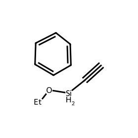 C#C[SiH2]OCC.c1ccccc1